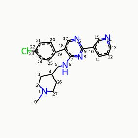 CN1CCC(CNc2nc(-c3cccnc3)ncc2-c2ccc(Cl)cc2)CC1